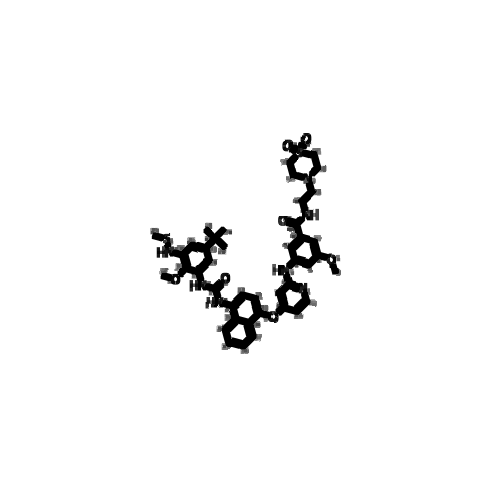 COc1cc(Nc2cc(Oc3ccc(NC(=O)Nc4cc(C(C)(C)C)cc(NSC)c4OC)c4ccccc34)ccn2)cc(C(=O)NCCN2CCS(=O)(=O)CC2)c1